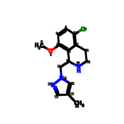 COc1ccc(Cl)c2c1C(Cn1cc(C)cn1)NCC2